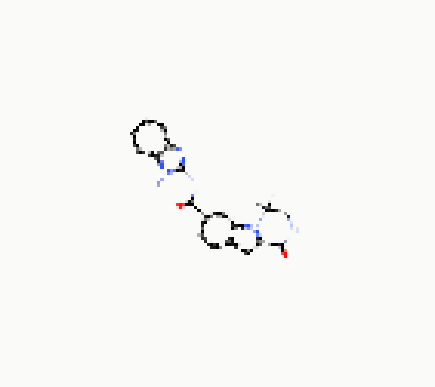 CC(C)n1c(NC(=O)c2ccc3cc4n(c3c2)C(C)(C)CNC4=O)nc2ccccc21